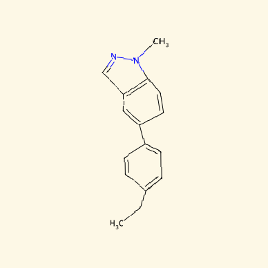 CCc1ccc(-c2ccc3c(cnn3C)c2)cc1